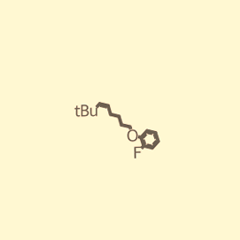 CC(C)(C)/C=C\CCCCOc1ccccc1F